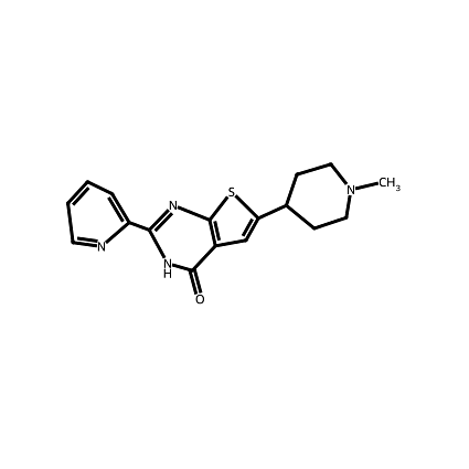 CN1CCC(c2cc3c(=O)[nH]c(-c4ccccn4)nc3s2)CC1